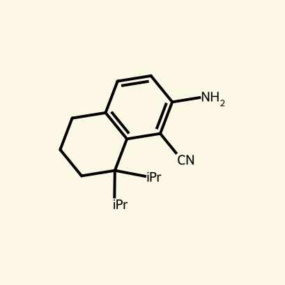 CC(C)C1(C(C)C)CCCc2ccc(N)c(C#N)c21